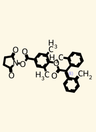 C=c1cccc/c1=C(\C(=O)Oc1c(C)cc(C(=O)ON2C(=O)CCC2=O)cc1C)c1ccccc1C